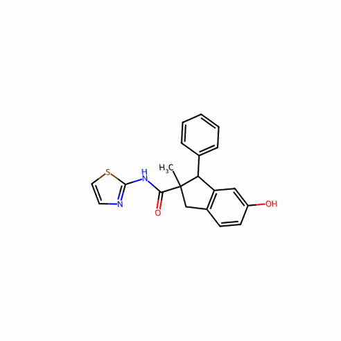 CC1(C(=O)Nc2nccs2)Cc2ccc(O)cc2C1c1ccccc1